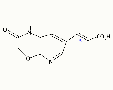 O=C(O)/C=C/c1cnc2c(c1)NC(=O)CO2